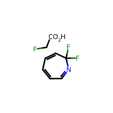 FC1(F)C=CC=CC=N1.O=C(O)CF